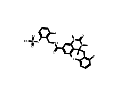 CN1C(=O)N(I)c2cc(C(=O)NCc3c(F)cccc3OP(=O)(O)O)cc(I)c2C1(C)Cc1c(F)cccc1Cl